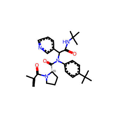 C=C(C)C(=O)N1CCC[C@H]1C(=O)N(c1ccc(C(C)(C)C)cc1)C(C(=O)NC(C)(C)C)c1cccnc1